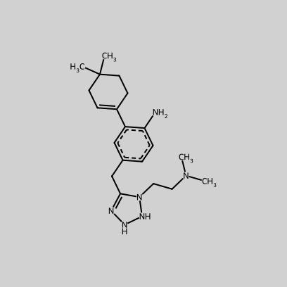 CN(C)CCN1NNN=C1Cc1ccc(N)c(C2=CCC(C)(C)CC2)c1